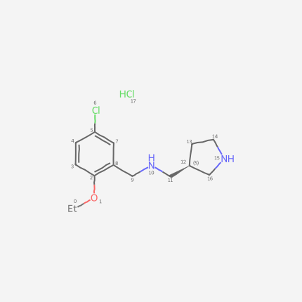 CCOc1ccc(Cl)cc1CNC[C@H]1CCNC1.Cl